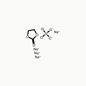 O=C1OCCO1.[Na+].[Na+].[Na+].[Na+].[O-][Si]([O-])([O-])[O-]